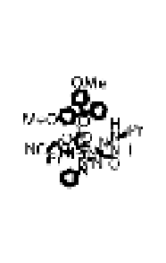 COc1ccc(C(OC[C@H]2O[C@@H](n3c(N=Nc4ccccc4)nc4c(=O)[nH]c(NCC(C)C)nc43)C[C@@H]2OP(CCC#N)N(C(C)C)C(C)C)(c2ccccc2)c2ccc(OC)cc2)cc1